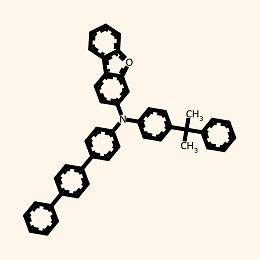 CC(C)(c1ccccc1)c1ccc(N(c2ccc(-c3ccc(-c4ccccc4)cc3)cc2)c2ccc3c(c2)oc2ccccc23)cc1